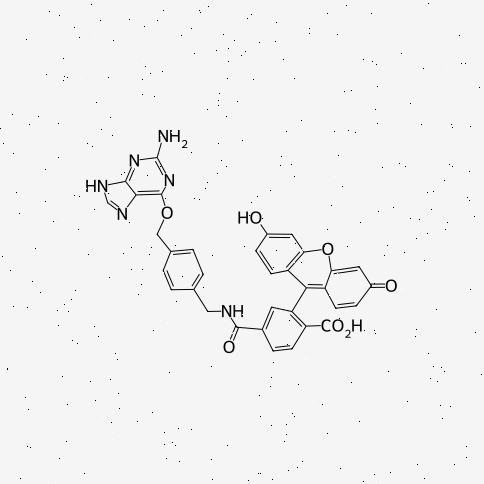 Nc1nc(OCc2ccc(CNC(=O)c3ccc(C(=O)O)c(-c4c5ccc(=O)cc-5oc5cc(O)ccc45)c3)cc2)c2nc[nH]c2n1